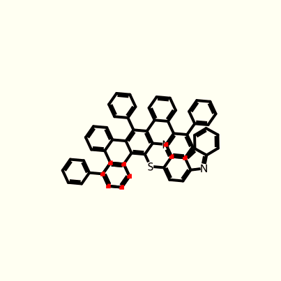 c1ccc(-c2ccccc2-c2ccccc2-c2c(-c3ccccc3)c(-c3ccccc3-c3ccccc3-c3ccccc3)c3nc4c(ccc5nc6ccccc6c54)sc3c2-c2ccccc2)cc1